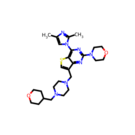 Cc1cn(-c2nc(N3CCOCC3)nc3c(CN4CCN(CC5CCOCC5)CC4)csc23)c(C)n1